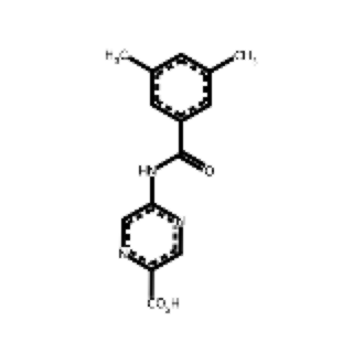 Cc1cc(C)cc(C(=O)Nc2cnc(C(=O)O)cn2)c1